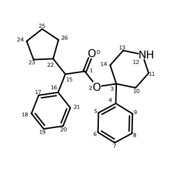 O=C(OC1(c2ccccc2)CCNCC1)C(c1ccccc1)C1CCCC1